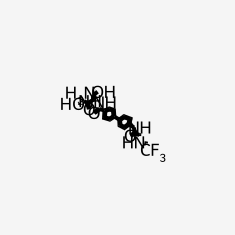 N[C@@H](O)[C@H](NC(=O)c1ccc(-c2ccc(NC(=O)CNCC(F)(F)F)cc2)cc1)C(=O)NO